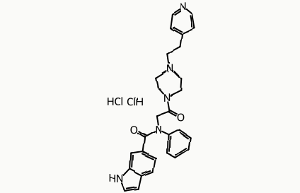 Cl.Cl.O=C(CN(C(=O)c1ccc2cc[nH]c2c1)c1ccccc1)N1CCN(CCc2ccncc2)CC1